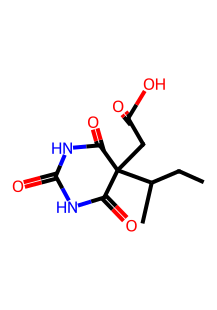 CCC(C)C1(CC(=O)O)C(=O)NC(=O)NC1=O